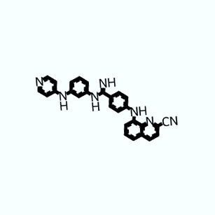 N#Cc1ccc2cccc(Nc3ccc(C(=N)Nc4cccc(Nc5ccncc5)c4)cc3)c2n1